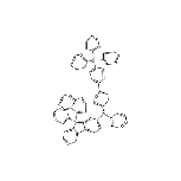 c1ccc(N(c2ccc(-c3ccc(S(c4ccccc4)(c4ccccc4)c4ccccc4)cc3)cc2)c2ccc3c(c2)C(c2ccccc2)(c2cccc4ccccc24)c2ccccc2-3)cc1